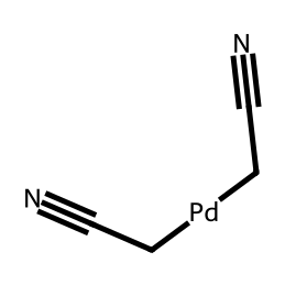 N#C[CH2][Pd][CH2]C#N